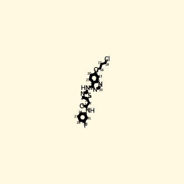 O=C(Cc1cnc(Nc2ncnc3cc(OCCCCl)ccc23)s1)Nc1cccc(F)c1